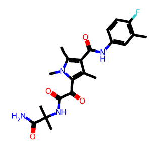 Cc1cc(NC(=O)c2c(C)c(C(=O)C(=O)NC(C)(C)C(N)=O)n(C)c2C)ccc1F